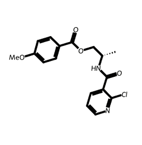 COc1ccc(C(=O)OC[C@H](C)NC(=O)c2cccnc2Cl)cc1